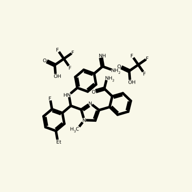 CCc1ccc(F)c(C(Nc2ccc(C(=N)N)cc2)c2nc(-c3ccccc3C(N)=O)cn2C)c1.O=C(O)C(F)(F)F.O=C(O)C(F)(F)F